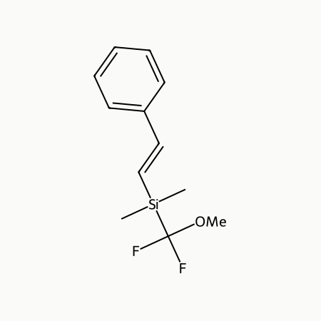 COC(F)(F)[Si](C)(C)C=Cc1ccccc1